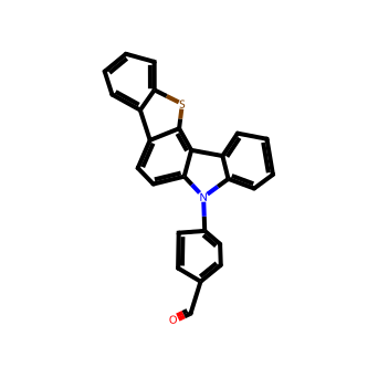 O=Cc1ccc(-n2c3ccccc3c3c4sc5ccccc5c4ccc32)cc1